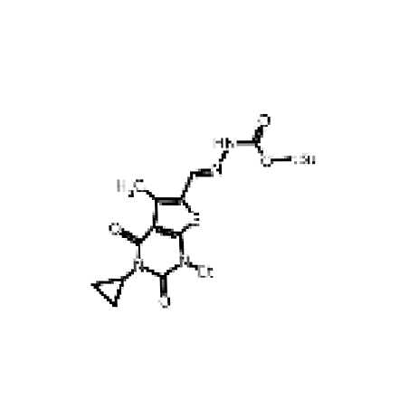 CCn1c(=O)n(C2CC2)c(=O)c2c(C)c(C=NNC(=O)OC(C)(C)C)sc21